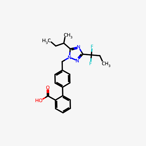 CCC(C)c1nc(C(F)(F)CC)nn1Cc1ccc(-c2ccccc2C(=O)O)cc1